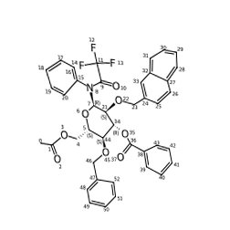 CC(=O)OC[C@@H]1O[C@@H](N(C(=O)C(F)(F)F)c2ccccc2)[C@@H](OCc2ccc3ccccc3c2)[C@H](OC(=O)c2ccccc2)[C@H]1OCc1ccccc1